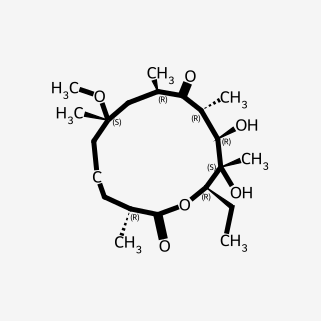 CC[C@H]1OC(=O)[C@H](C)CCC[C@](C)(OC)C[C@@H](C)C(=O)[C@H](C)[C@@H](O)[C@]1(C)O